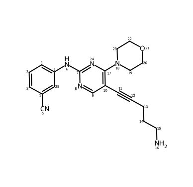 N#Cc1cccc(Nc2ncc(C#CCCCN)c(N3CCOCC3)n2)c1